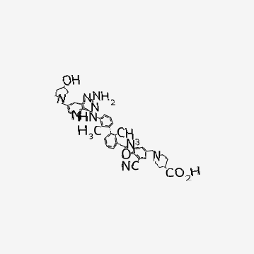 Cc1c(Nc2nc(N)nc3cc(CN4CCC(O)C4)cnc23)cccc1-c1cccc(-c2nc3cc(CN4CCC(C(=O)O)CC4)cc(C#N)c3o2)c1C